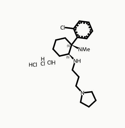 CN[C@]1(c2ccccc2Cl)CCCC[C@@H]1NCCCN1CCCC1.Cl.Cl.Cl